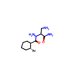 CC(=O)[C@@H]1CCCCC1C(=O)N(N)C(CN)C(N)=O